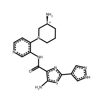 Nc1sc(-c2cn[nH]c2)nc1C(=O)Nc1cnccc1N1CCC[C@H](N)C1